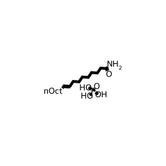 CCCCCCCCC=CCCCCCCCC(N)=O.O=P(O)(O)O